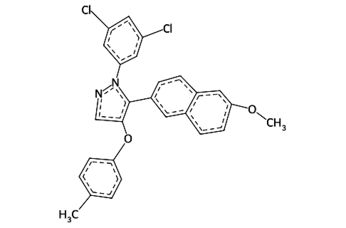 COc1ccc2cc(-c3c(Oc4ccc(C)cc4)cnn3-c3cc(Cl)cc(Cl)c3)ccc2c1